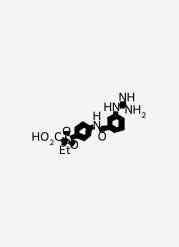 CCC(C(=O)O)S(=O)(=O)c1ccc(NC(=O)c2cccc(NC(=N)N)c2)cc1